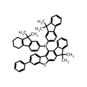 CC1(C)C2=C(CCCC2)c2ccc(N(c3ccc4c(c3)C(C)(C)c3ccccc3-4)c3c4c(cc5sc6cc(-c7ccccc7)ccc6c35)C(C)(C)c3ccccc3-4)cc21